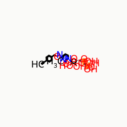 C#Cc1ccc(CO/N=c2/ccn([C@@H]3O[C@H](COP(=O)(O)CP(=O)(O)O)C(O)C3O)c(=O)n2C)cc1